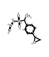 CC(c1ccc(C2CO2)cc1)S(=O)(=O)N=[N+]=[N-]